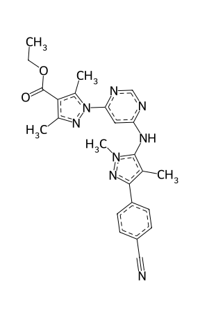 CCOC(=O)c1c(C)nn(-c2cc(Nc3c(C)c(-c4ccc(C#N)cc4)nn3C)ncn2)c1C